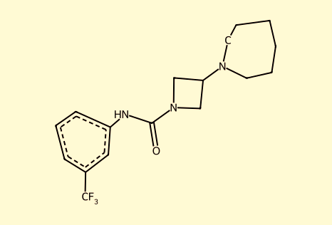 O=C(Nc1cccc(C(F)(F)F)c1)N1CC(N2CCCCCC2)C1